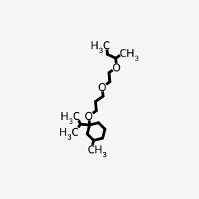 CCC(C)OCCOCCCOC1(C(C)C)CCCC(C)C1